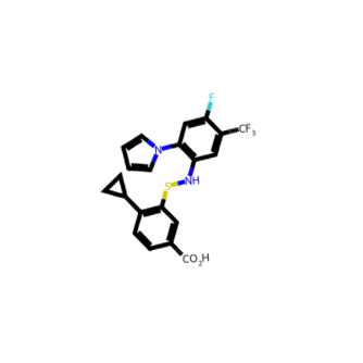 O=C(O)c1ccc(C2CC2)c(SNc2cc(C(F)(F)F)c(F)cc2-n2cccc2)c1